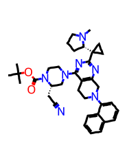 CN1CCC[C@H]1C1(c2nc3c(c(N4CCN(C(=O)OC(C)(C)C)[C@@H](CC#N)C4)n2)CCN(c2cccc4ccccc24)C3)CC1